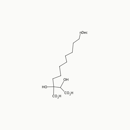 CCCCCCCCCCCCCCCCCCC(O)(C(=O)O)C(O)C(=O)O